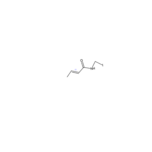 C/C=C/C(=O)NCI